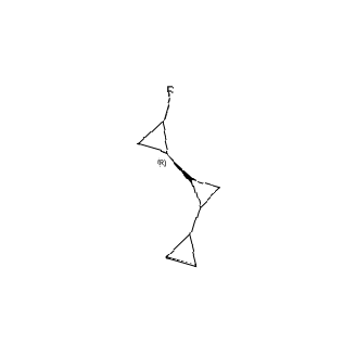 FC1C[C@@H]1C1CC1C1CC1